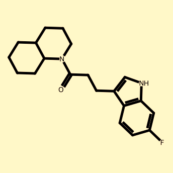 O=C(CCc1c[nH]c2cc(F)ccc12)N1CCCC2CCCCC21